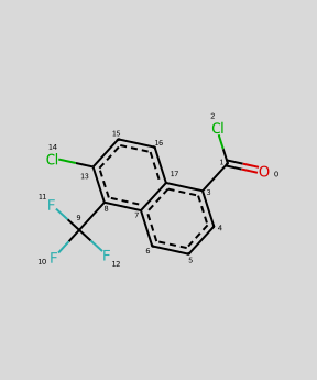 O=C(Cl)c1cccc2c(C(F)(F)F)c(Cl)ccc12